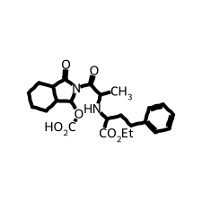 CCOC(=O)C(CCc1ccccc1)NC(C)C(=O)N1C(=O)C2CCCCC2C1OC(=O)O